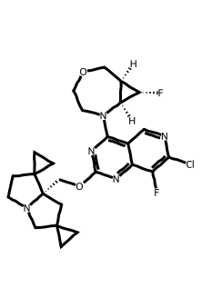 Fc1c(Cl)ncc2c(N3CCOC[C@H]4[C@H](F)[C@H]43)nc(OC[C@]34CC5(CC5)CN3CCC43CC3)nc12